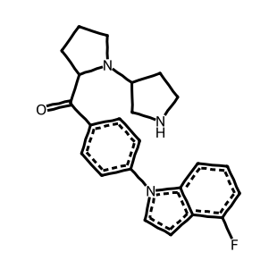 O=C(c1ccc(-n2ccc3c(F)cccc32)cc1)C1CCCN1C1CCNC1